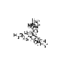 CN1CCC(c2cc3c(cc2NC(=O)/C(C=N)=C2\N=CC=CN2)CC(C)(C)O3)CC1